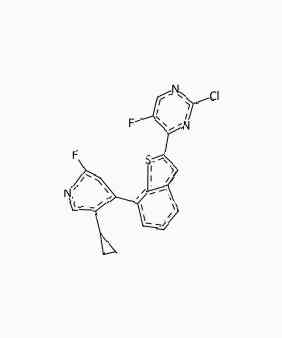 Fc1cc(-c2cccc3cc(-c4nc(Cl)ncc4F)sc23)c(C2CC2)cn1